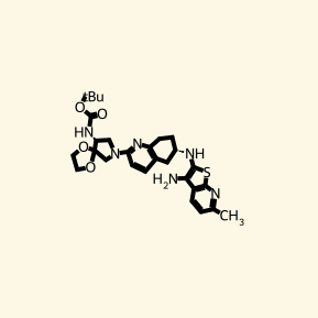 Cc1ccc2c(N)c(N[C@H]3CCc4nc(N5C[C@@H](NC(=O)OC(C)(C)C)C6(C5)OCCO6)ccc4C3)sc2n1